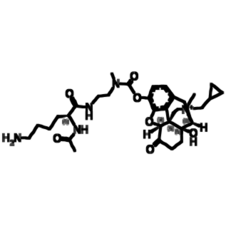 CC(=O)N[C@@H](CCCCN)C(=O)NCCN(C)C(=O)Oc1ccc2c3c1O[C@H]1C(=O)CC[C@@]4(O)[C@@H](C2)[N+](C)(CC2CC2)CC[C@]314